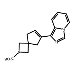 O=C(O)N1CC2(CC=C(c3ncn4ccccc34)C2)C1